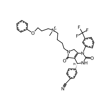 C[N+](C)(CCCCN1CC2=C(C1=O)[C@@H](c1ccc(C#N)cc1)NC(=O)N2c1cccc(C(F)(F)F)c1)CCCOc1ccccc1